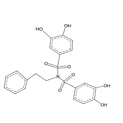 O=S(=O)(c1ccc(O)c(O)c1)N(CCc1ccccc1)S(=O)(=O)c1ccc(O)c(O)c1